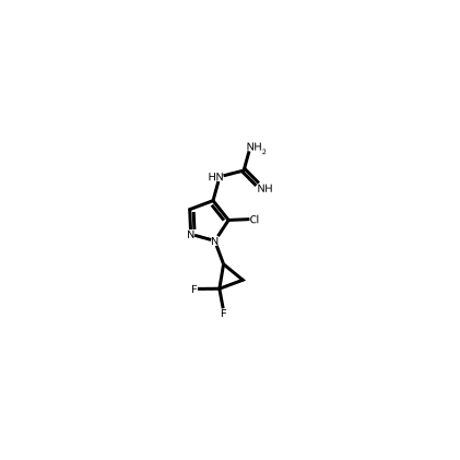 N=C(N)Nc1cnn(C2CC2(F)F)c1Cl